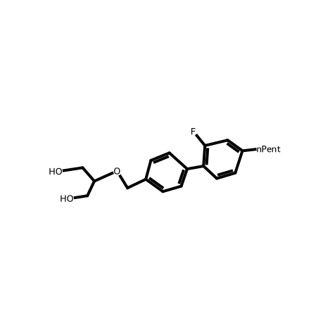 CCCCCc1ccc(-c2ccc(COC(CO)CO)cc2)c(F)c1